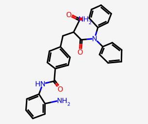 NC(=O)C(Cc1ccc(C(=O)Nc2ccccc2N)cc1)C(=O)N(c1ccccc1)c1ccccc1